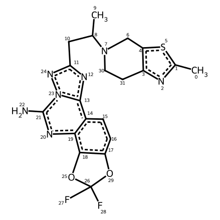 Cc1nc2c(s1)CN(C(C)Cc1nc3c4ccc5c(c4nc(N)n3n1)OC(F)(F)O5)CC2